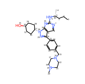 CCC[C@@H](C)Nc1ncc2c(-c3ccc(CN4CCN(C)CC4)cc3)nn([C@H]3CC[C@H](O)CC3)c2n1